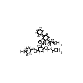 CCCCOc1ccc(OCC2CCNCC2)cc1C(=O)Nc1cc(-c2ccccc2)ccc1C(=O)OC